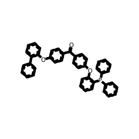 O=C(c1ccc(Oc2ccccc2-c2ccccc2)cc1)c1ccc(Oc2ccccc2P(c2ccccc2)c2ccccc2)cc1